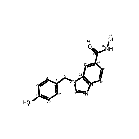 Cc1ccc(Cn2cnc3ccc(C(=O)NO)cc32)cc1